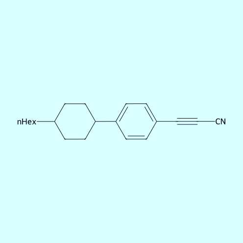 CCCCCCC1CCC(c2ccc(C#CC#N)cc2)CC1